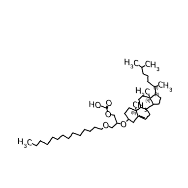 CCCCCCCCCCCCCCOCC(COC(=O)O)OC1CC[C@@]2(C)C(=CCC3C2CC[C@@]2(C)C3CC[C@@H]2[C@H](C)CCCC(C)C)C1